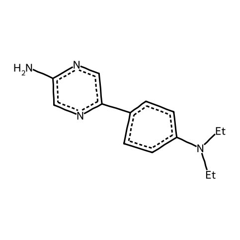 CCN(CC)c1ccc(-c2cnc(N)cn2)cc1